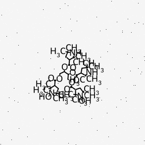 CC1(C)CC(C(=O)OC(COC(=O)C2CC(C)(C)N(O)C2(C)C)C(COC(=O)C2CC(C)(C)N(O)C2(C)C)OC(=O)C2CC(C)(C)NC2(C)C)C(C)(C)N1